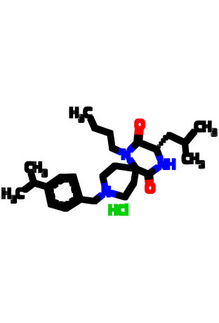 CCCCN1C(=O)[C@H](CC(C)C)NC(=O)C12CCN(Cc1ccc(C(C)C)cc1)CC2.Cl